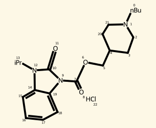 CCCCN1CCC(COC(=O)n2c(=O)n(C(C)C)c3ccccc32)CC1.Cl